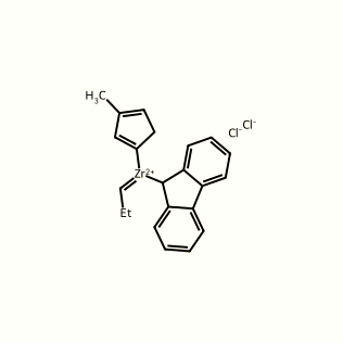 CC/[CH]=[Zr+2](/[C]1=CC(C)=CC1)[CH]1c2ccccc2-c2ccccc21.[Cl-].[Cl-]